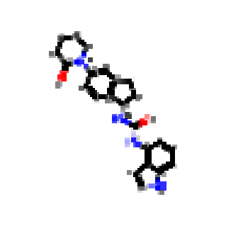 O=C(Nc1cccc2[nH]ccc12)NC1CCc2cc(N3CCCCC3=O)ccc21